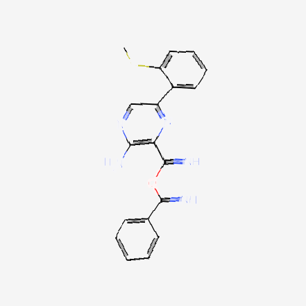 CSc1ccccc1-c1cnc(N)c(C(=N)OC(=N)c2ccccc2)n1